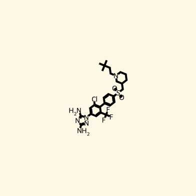 CC(C)(C)CCN1CCCC(CS(=O)(=O)c2ccc(-c3c(Cl)cc(-n4nc(N)nc4N)cc3C(F)(F)F)cc2)C1